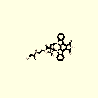 C=CC(=O)NCCNC(=O)[C@@]1(O)CC2O[C@]1(C)n1c3ccccc3c3c4c(c5c6ccccc6n2c5c31)C(=O)NC4=O